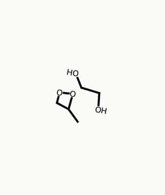 CC1COO1.OCCO